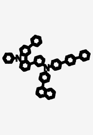 c1ccc(-c2ccc(-c3ccc(N(c4ccc(-c5cccc6ccccc56)cc4)c4cccc(-c5cccc6c5c5cc(-c7ccccc7)ccc5n6-c5ccccc5)c4)cc3)cc2)cc1